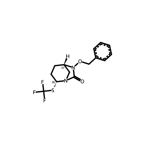 O=C1N2C[C@H](CC[C@H]2SC(F)(F)F)N1OCc1ccccc1